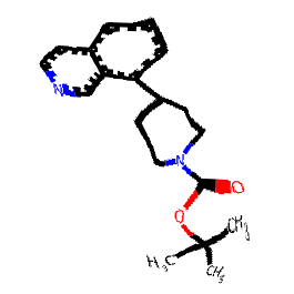 CC(C)(C)OC(=O)N1CCC(c2cccc3ccncc23)CC1